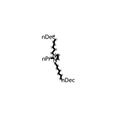 CCCCCCCCCCCCCCCCCn1cc[n+](CCCCCCCCCCCCCCCC)c1CCC